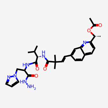 CC(=O)O[C@H](C)c1ccc2ccc(/C=C/C(C)(C)C(=O)N[C@H](C(=O)NC(Cn3cccn3)C(=O)NN)C(C)C)cc2n1